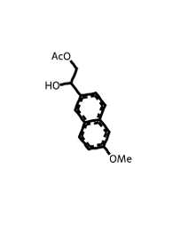 COc1ccc2cc(C(O)COC(C)=O)ccc2c1